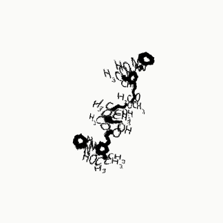 CC(C)(CC(O)COC(C)(C)C(=O)CCc1cc(-n2nc3ccccc3n2)c(O)c(C(C)(C)C)c1)OC(C)(C)C(CO)OC(=O)CCc1cc(-n2nc3ccccc3n2)c(O)c(C(C)(C)C)c1